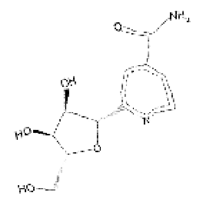 NC(=O)c1ccnc([C@@H]2O[C@H](CO)[C@@H](O)[C@H]2O)c1